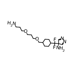 NCCCOCCCOCC1CCC(C(F)(F)C2(N)C=NN=C2)CC1